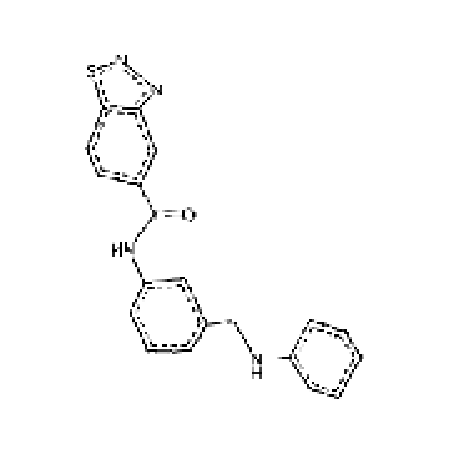 O=C(Nc1cccc(CNc2ccccc2)c1)c1ccc2snnc2c1